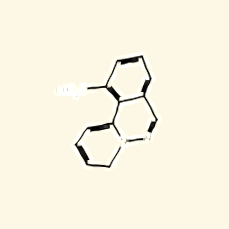 CCOC(=O)c1cccc2c1C1=CC=CCN1N=C2